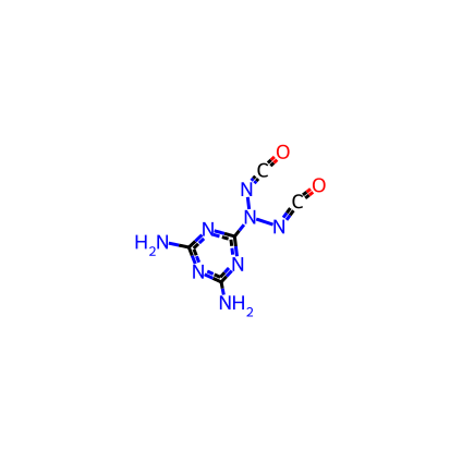 Nc1nc(N)nc(N(N=C=O)N=C=O)n1